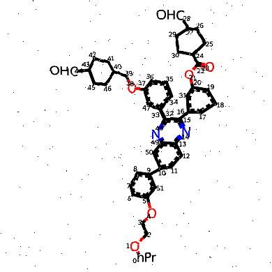 CCCOCCOc1cccc(-c2ccc3nc(-c4cccc(OC(=O)C5CCC(C=O)CC5)c4)c(-c4cccc(OCC5CCC(C=O)CC5)c4)nc3c2)c1